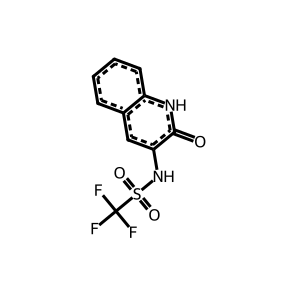 O=c1[nH]c2ccccc2cc1NS(=O)(=O)C(F)(F)F